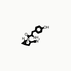 N#CC1CC2C[C@@H]2N1C(=O)C(N)Cc1ccc(O)cc1